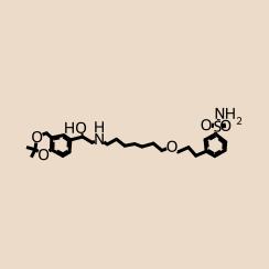 CC1(C)OCc2cc([C@@H](O)CNCCCCCCCOCCCc3cccc(S(N)(=O)=O)c3)ccc2O1